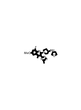 COc1cc(F)c2nc(N3CCC(N[C@@H]4CCOC4)CC3)c(-c3noc(C)n3)c(C)c2c1